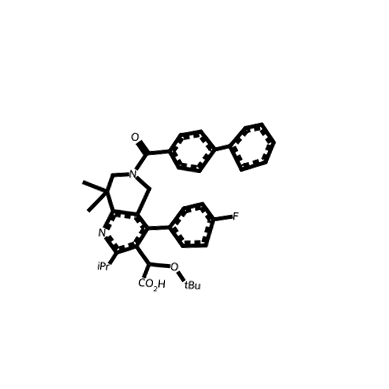 CC(C)c1nc2c(c(-c3ccc(F)cc3)c1C(OC(C)(C)C)C(=O)O)CN(C(=O)c1ccc(-c3ccccc3)cc1)CC2(C)C